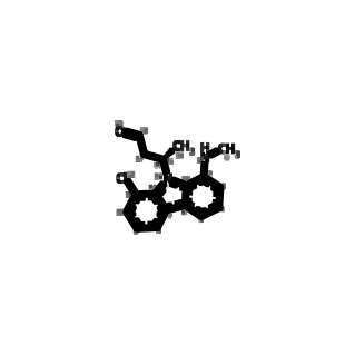 CNc1cccc2c3cccc(Cl)c3n([C@H](C)CC=O)c12